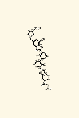 Cc1c(-c2nc3cc(CN4CCC(C(=O)O)C4)cc(C#N)c3o2)cccc1-c1cccc(-n2cc3c(n2)CN(C(=O)OC(C)(C)C)CC3)c1Cl